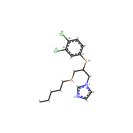 CCCCCSCC(Cn1ccnc1)Sc1ccc(Cl)c(Cl)c1